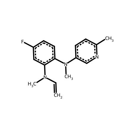 C=CN(C)c1cc(F)ccc1N(C)c1ccc(C)nc1